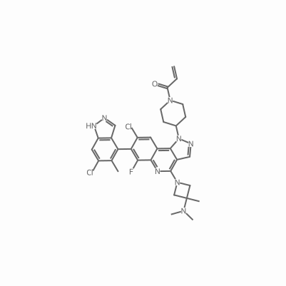 C=CC(=O)N1CCC(n2ncc3c(N4CC(C)(N(C)C)C4)nc4c(F)c(-c5c(C)c(Cl)cc6[nH]ncc56)c(Cl)cc4c32)CC1